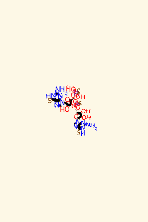 Nc1nc2c(ncn2[C@@H]2O[C@H](COP(O)(=S)OC3C(O)[C@H](n4cnc5c(=S)[nH]c(N)nc54)O[C@@H]3COP(O)(O)=S)C(O)C2O)c(=S)[nH]1